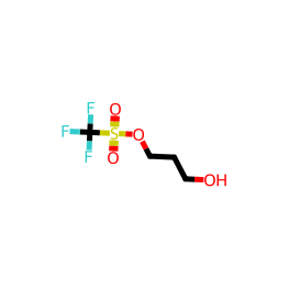 O=S(=O)(OCCCO)C(F)(F)F